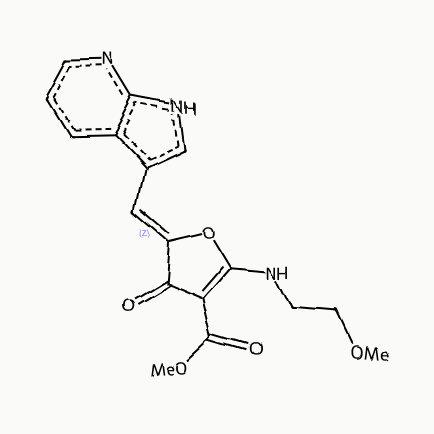 COCCNC1=C(C(=O)OC)C(=O)/C(=C/c2c[nH]c3ncccc23)O1